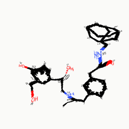 C[C@H](Cc1cccc(CC(=O)NCC23CC4CC(CC(C4)C2)C3)c1)NC[C@@H](O)c1ccc(O)c(CO)c1